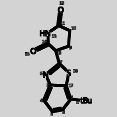 CC(C)(C)c1cccc2nc(C3CCC(=O)NC3=O)sc12